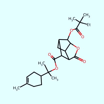 CCC(C)(C)C(=O)OC1C2CC3C1OC(=O)C3C2C(=O)OC(C)(C)C1CC=C(C)CC1